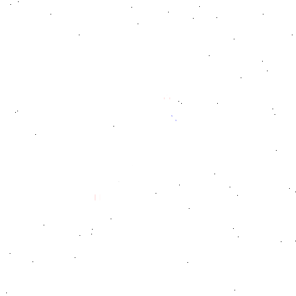 CC(C)(O)c1ccc2c(ccc[n+]2[O-])c1